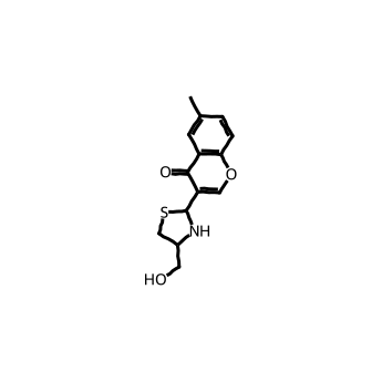 Cc1ccc2occ(C3NC(CO)CS3)c(=O)c2c1